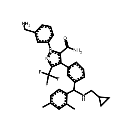 Cc1ccc(C(NCC2CC2)c2cccc(-c3c(C(F)(F)F)nn(-c4cccc(CN)c4)c3C(N)=O)c2)c(C)c1